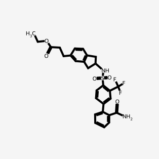 CCOC(=O)CCc1ccc2c(c1)CC(NS(=O)(=O)c1ccc(-c3ccccc3C(N)=O)cc1C(F)(F)F)C2